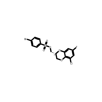 O=S(=O)(OC[C@H]1COc2c(Cl)cc(F)cc2O1)c1ccc(Br)cc1